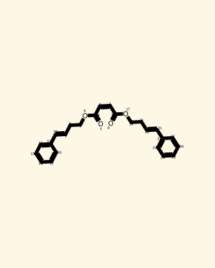 O=C(/C=C\C(=O)OCCC=Cc1ccccc1)OCCC=Cc1ccccc1